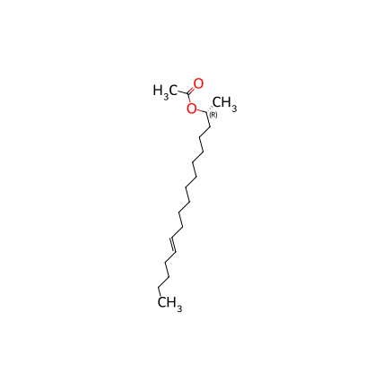 CCCCC=CCCCCCCCCC[C@@H](C)OC(C)=O